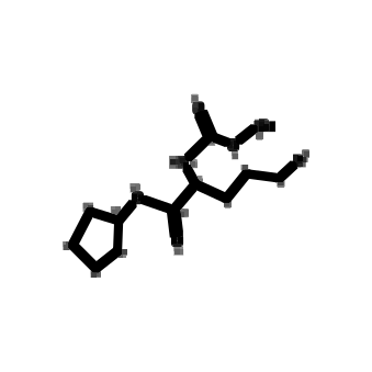 CC(C)(C)OC(=O)NC(CCCBr)C(=O)OC1CCCC1